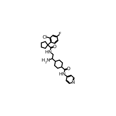 NC(CNC(=O)C1(c2ccc(F)cc2Cl)CCCC1)C1CCC(C(=O)Nc2ccncc2)CC1